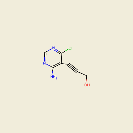 Nc1ncnc(Cl)c1C#CCO